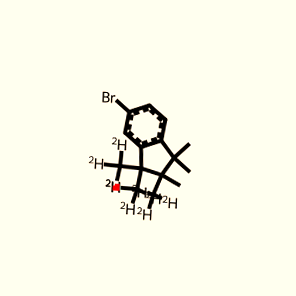 [2H]C([2H])([2H])C1(C)C(C)(C)c2ccc(Br)cc2C1(C([2H])([2H])[2H])C([2H])([2H])[2H]